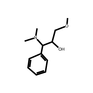 COCC(O)C(c1ccccc1)N(C)C